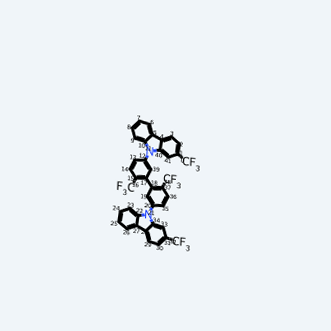 FC(F)(F)c1ccc2c3ccccc3n(-c3ccc(C(F)(F)F)c(-c4cc(-n5c6ccccc6c6ccc(C(F)(F)F)cc65)ccc4C(F)(F)F)c3)c2c1